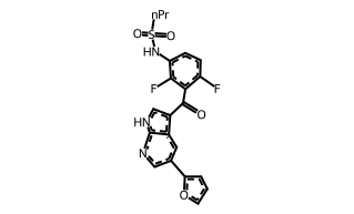 CCCS(=O)(=O)Nc1ccc(F)c(C(=O)c2c[nH]c3ncc(-c4ccco4)cc23)c1F